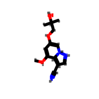 COc1cc(OCC(C)(C)O)cn2ncc(C#N)c12